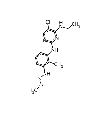 CCNc1nc(Nc2cccc(NSOC)c2C)ncc1Cl